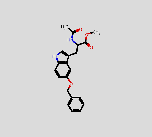 COC(=O)C(Cc1c[nH]c2ccc(OCc3ccccc3)cc12)NC(C)=O